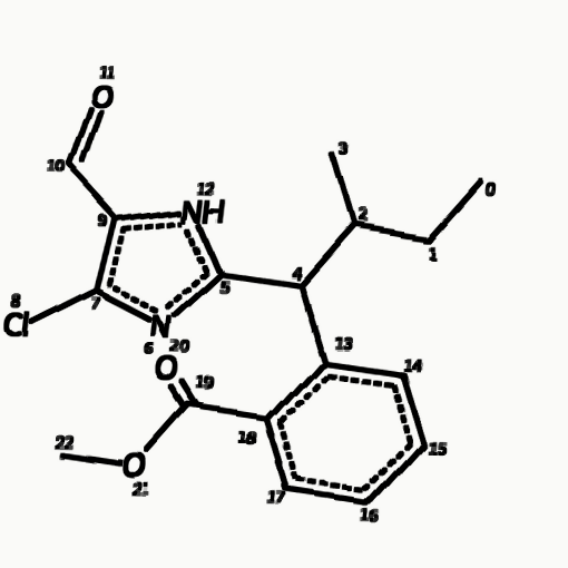 CCC(C)C(c1nc(Cl)c(C=O)[nH]1)c1ccccc1C(=O)OC